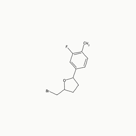 Cc1ccc(C2CCC(CBr)O2)cc1F